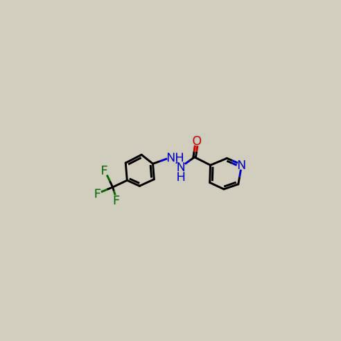 O=C(NNc1ccc(C(F)(F)F)cc1)c1cccnc1